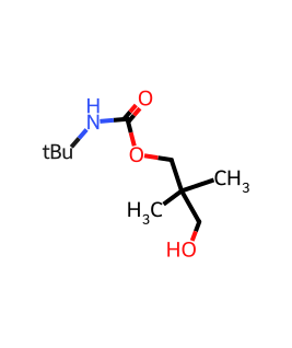 CC(C)(CO)COC(=O)NC(C)(C)C